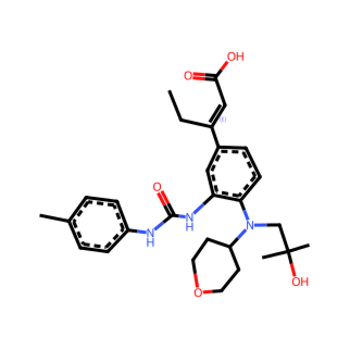 CC/C(=C\C(=O)O)c1ccc(N(CC(C)(C)O)C2CCOCC2)c(NC(=O)Nc2ccc(C)cc2)c1